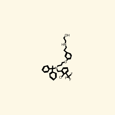 CC(c1ccccc1)(c1ccccc1)N(CCCOc1cccc(CCNCCO)c1)Cc1cccc(C(F)(F)F)c1Cl